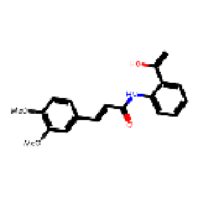 C=C(O)c1ccccc1NC(=O)/C=C/c1ccc(OC)c(OC)c1